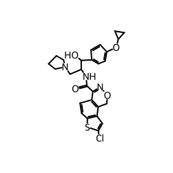 O=C(NC(CN1CCCC1)C(O)c1ccc(OC2CC2)cc1)C1=NOCc2c1ccc1sc(Cl)cc21